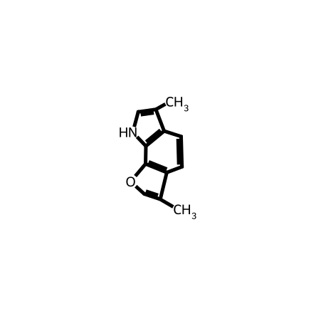 Cc1c[nH]c2c1ccc1c(C)coc12